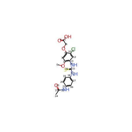 COc1cc(OCC(=O)O)c(Cl)cc1NC(=S)Nc1ccc(NC(C)=O)cc1